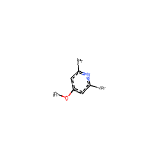 CC(C)Oc1cc(C(C)C)nc(C(C)C)c1